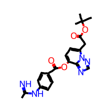 CC(=N)Nc1ccc(C(=O)Oc2ccc(CC(=O)OC(C)(C)C)n3ncnc23)cc1